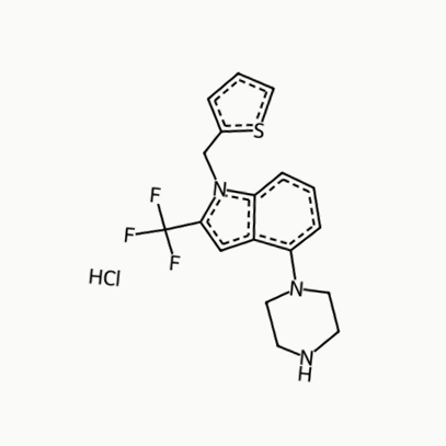 Cl.FC(F)(F)c1cc2c(N3CCNCC3)cccc2n1Cc1cccs1